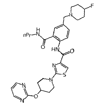 CCCNC(=O)c1cc(CN2CCC(F)CC2)ccc1NC(=O)c1csc(N2CCC(Oc3ncccn3)CC2)n1